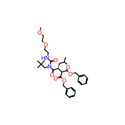 COCCOCCNC(=O)N(CC(C)(C)C)C(=O)[C@@H](CC(C)C)C(C(=O)OCc1ccccc1)C(=O)OCc1ccccc1